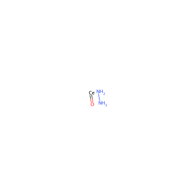 NN.[O]=[Ce]